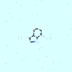 Cc1c[nH]c2c(N)cccc12